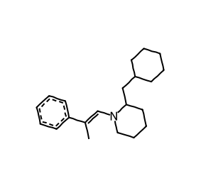 C/C(=C\N1CCCCC1CC1CCCCC1)c1ccccc1